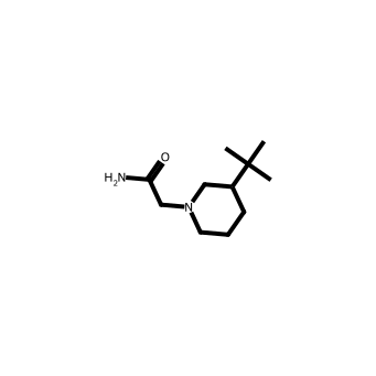 CC(C)(C)C1CCCN(CC(N)=O)C1